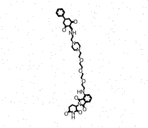 O=C1CCC(N2C(=O)c3cccc(NCCOCCOCCOCCN4CCN(CCNC=C5C(=O)CC(c6ccccc6)CC5=O)CC4)c3C2=O)C(=O)N1